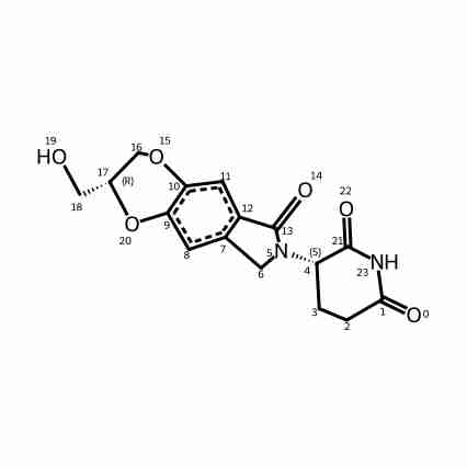 O=C1CC[C@H](N2Cc3cc4c(cc3C2=O)OC[C@@H](CO)O4)C(=O)N1